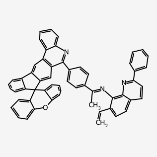 C=Cc1ccc2ccc(-c3ccccc3)nc2c1/N=C(\C)c1ccc(-c2nc3ccccc3c3cc4c(cc23)C2(c3ccccc3Oc3ccccc32)c2ccccc2-4)cc1